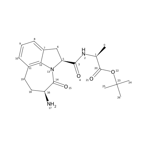 C[C@H](NC(=O)[C@@H]1Cc2cccc3c2N1C(=O)[C@@H](N)CC3)C(=O)OC(C)(C)C